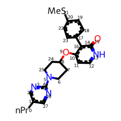 CCCc1cnc(N2CCC(Oc3cc[nH]c(=O)c3-c3ccc(SC)cc3)CC2)nc1